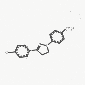 O=C(O)c1ccc(N2CCC(c3ccc(Cl)cc3)=N2)cc1